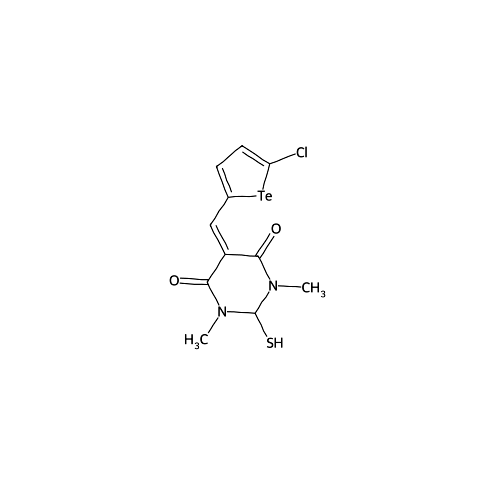 CN1C(=O)C(=Cc2ccc(Cl)[te]2)C(=O)N(C)C1S